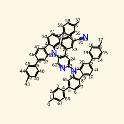 Cc1ccc(-c2ccc3c4ccc(-c5ccc(C)cc5)cc4n(-c4cc(-c5cccc(C#N)c5)c(-n5c6cc(-c7ccc(C)cc7)ccc6c6ccc(-c7ccc(C)cc7)cc65)cn4)c3c2)cc1